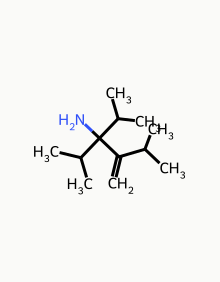 C=C(C(C)C)C(N)(C(C)C)C(C)C